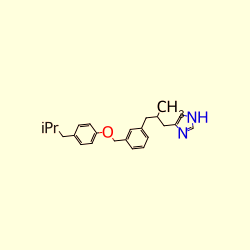 CC(C)Cc1ccc(OCc2cccc(CC(C)Cc3c[nH]cn3)c2)cc1